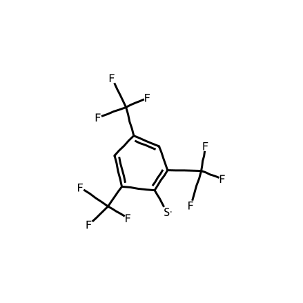 FC(F)(F)c1cc(C(F)(F)F)c([S])c(C(F)(F)F)c1